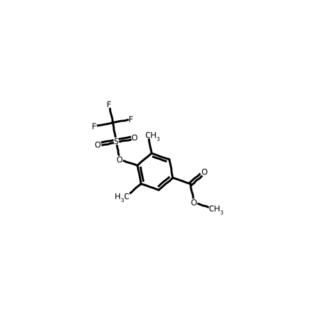 COC(=O)c1cc(C)c(OS(=O)(=O)C(F)(F)F)c(C)c1